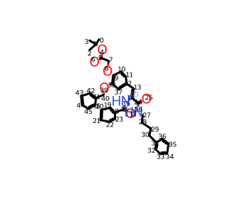 CC(C)(C)OC(=O)COc1ccc(/C=C(\NC(=O)c2ccccc2)C(=O)NCCCCc2ccccc2)cc1OCc1ccccc1